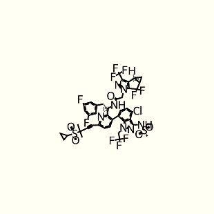 CC(C)(C#Cc1ccc(-c2ccc(Cl)c3c(NS(C)(=O)=O)nn(CC(F)(F)F)c23)c([C@H](Cc2cc(F)cc(F)c2)NC(=O)Cn2nc(C(F)(F)F)c3c2C(F)(F)C2C[C@H]32)n1)S(=O)(=O)C1CC1